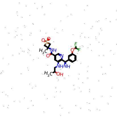 CC(O)CNc1cc(C(=O)NC2(C)CS(=O)(=O)C2)cnc1C(=N)c1cccc(OC(F)F)c1